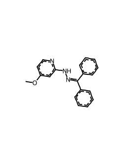 COc1ccnc(NN=C(c2ccccc2)c2ccccc2)c1